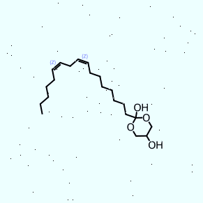 CCCCC/C=C\C/C=C\CCCCCCCC1(O)OCC(O)CO1